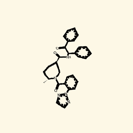 C[C@@H]1CC[C@@H](C(=O)NC(C(=O)c2ccccc2)c2ccccc2)CN1C(=O)c1ccccc1-n1nccn1